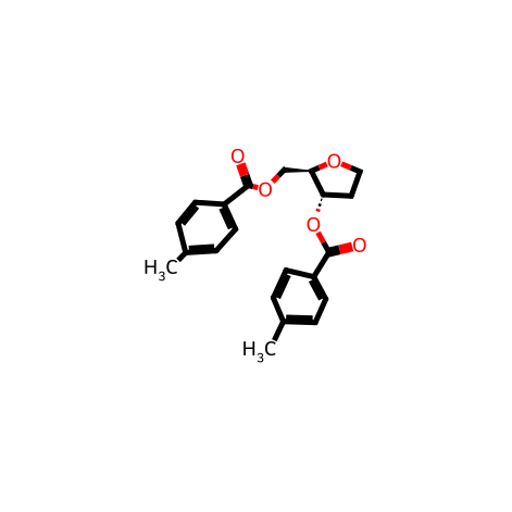 Cc1ccc(C(=O)OC[C@H]2OCC[C@@H]2OC(=O)c2ccc(C)cc2)cc1